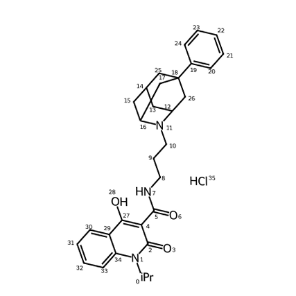 CC(C)n1c(=O)c(C(=O)NCCCN2C3CC4CC2CC(c2ccccc2)(C4)C3)c(O)c2ccccc21.Cl